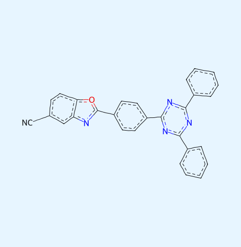 N#Cc1ccc2oc(-c3ccc(-c4nc(-c5ccccc5)nc(-c5ccccc5)n4)cc3)nc2c1